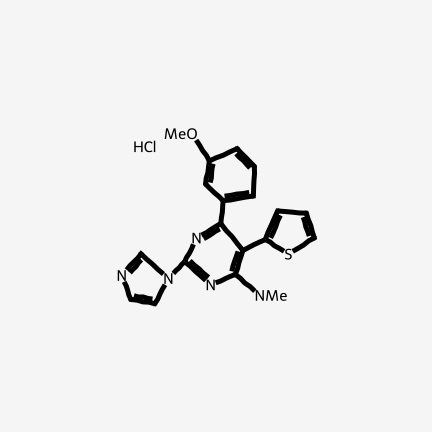 CNc1nc(-n2ccnc2)nc(-c2cccc(OC)c2)c1-c1cccs1.Cl